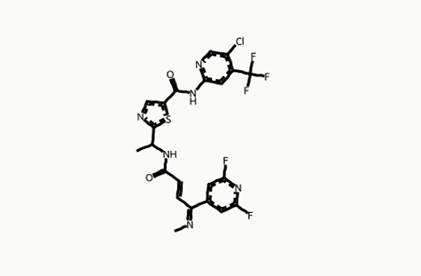 C/N=C(\C=C\C(=O)NC(C)c1ncc(C(=O)Nc2cc(C(F)(F)F)c(Cl)cn2)s1)c1cc(F)nc(F)c1